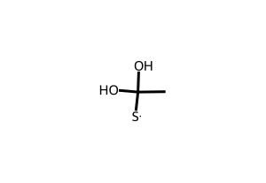 CC(O)(O)[S]